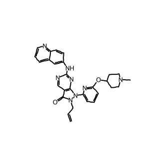 C=CCn1c(=O)c2cnc(Nc3ccc4ncccc4c3)nc2n1-c1cccc(OC2CCN(C)CC2)n1